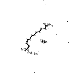 CCCCCC[C@@H](O)C/C=C\CCCCCCCC(N)=O.[Na].[Na]